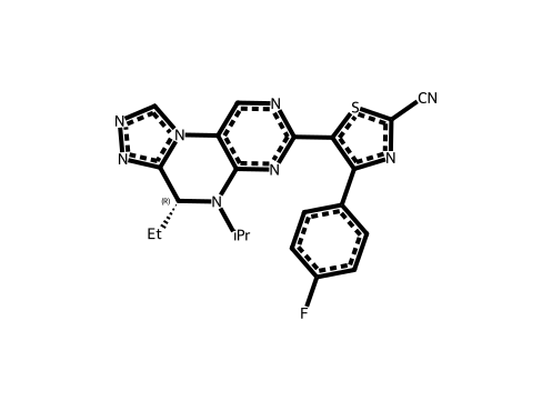 CC[C@@H]1c2nncn2-c2cnc(-c3sc(C#N)nc3-c3ccc(F)cc3)nc2N1C(C)C